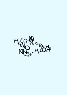 Cc1ccc(-c2noc([C@H]3C[C@@H](OCC(C)(C)O)C3)n2)cc1NC(=O)c1cnc2ccc(F)cn12